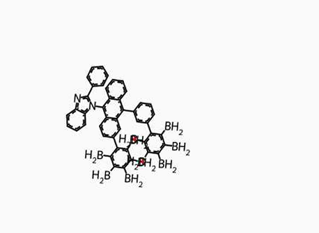 Bc1c(B)c(B)c(-c2cccc(-c3c4ccccc4c(-n4c(-c5ccccc5)nc5ccccc54)c4ccc(-c5c(B)c(B)c(B)c(B)c5B)cc34)c2)c(B)c1B